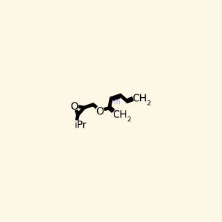 C=C/C=C\C(=C)OCC1OC1C(C)C